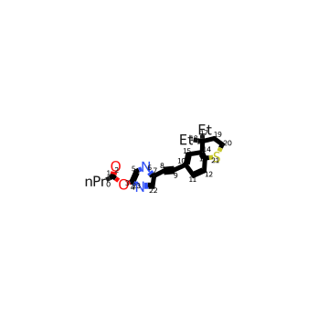 CCCC(=O)Oc1cnc(C#Cc2ccc3c(c2)C(CC)(CC)CCS3)cn1